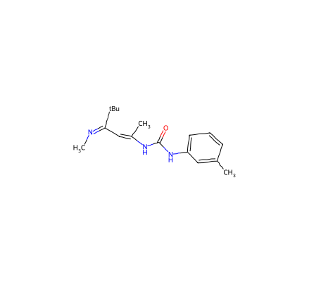 C/N=C(\C=C(/C)NC(=O)Nc1cccc(C)c1)C(C)(C)C